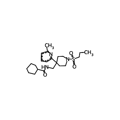 CCCS(=O)(=O)N1CCC(CNC(=O)C2CCCCC2)(c2cccc(C)n2)CC1